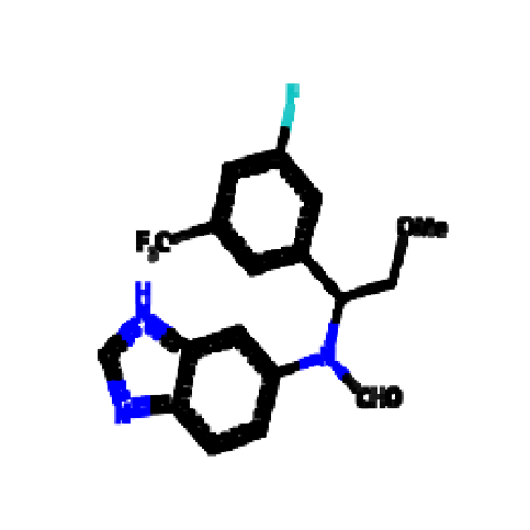 COCC(c1cc(F)cc(C(F)(F)F)c1)N(C=O)c1ccc2nc[nH]c2c1